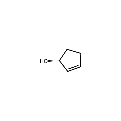 O[C@H]1C=CCC1